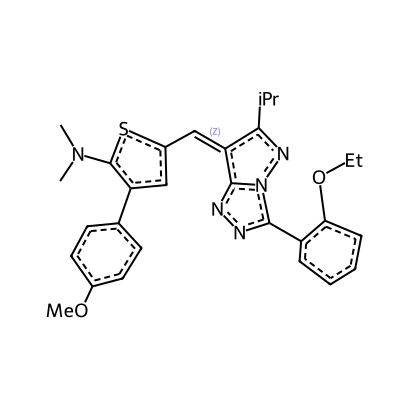 CCOc1ccccc1-c1nnc2/c(=C\c3cc(-c4ccc(OC)cc4)c(N(C)C)s3)c(C(C)C)nn12